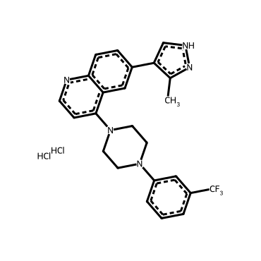 Cc1n[nH]cc1-c1ccc2nccc(N3CCN(c4cccc(C(F)(F)F)c4)CC3)c2c1.Cl.Cl